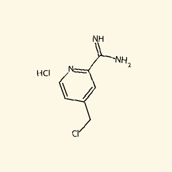 Cl.N=C(N)c1cc(CCl)ccn1